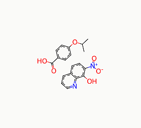 CC(C)Oc1ccc(C(=O)O)cc1.O=[N+]([O-])c1ccc2cccnc2c1O